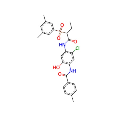 CCC(C(=O)Nc1cc(O)c(NC(=O)c2ccc(C)cc2)cc1Cl)S(=O)(=O)c1cc(C)cc(C)c1